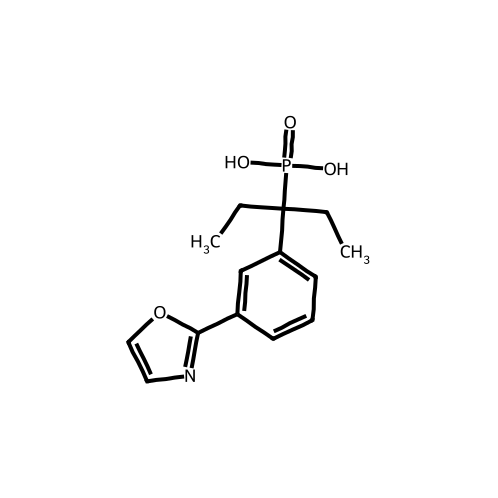 CCC(CC)(c1cccc(-c2ncco2)c1)P(=O)(O)O